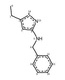 CCc1cc(NCc2ccccc2)ns1